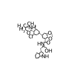 CC(C)(C)NC(=O)c1ccc(-c2cc3c(c(C(=O)N[C@@H](CO)Cc4c[nH]c5ccccc45)c2)OCCO3)cc1Cl